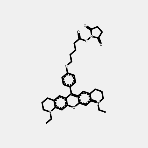 CCN1CCCc2cc3c(cc21)Oc1cc2c(cc1=C3c1ccc(OCCCCC(=O)ON3C(=O)CCC3=O)cc1)CCC[N+]=2CC